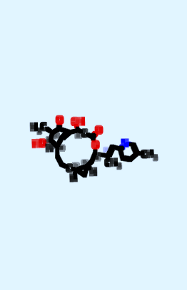 C/C(=C\c1ccc(C)cn1)[C@H]1C[C@@H]2C[C@@H]2CCC[C@@H]2C=C(C(=O)[C@H](C)[C@H]2O)[C@@H](O)CC(=O)O1